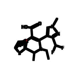 CCN(C(=C(C#N)C(=O)O)c1cn(C)nc1C(F)F)C(C)c1nccs1